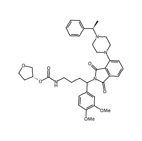 COc1ccc(C(CCCNC(=O)O[C@@H]2CCOC2)N2C(=O)c3cccc(N4CCN([C@H](C)c5ccccc5)CC4)c3C2=O)cc1OC